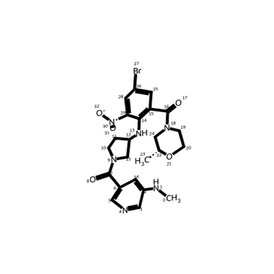 CNc1cncc(C(=O)N2CCC(Nc3c(C(=O)N4CCO[C@H](C)C4)cc(Br)cc3[N+](=O)[O-])C2)c1